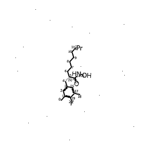 Cc1cc(C[C@H](CCCCCC(C)C)C(=O)NO)cc(C)c1F